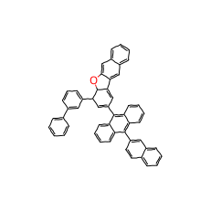 C1=C(c2c3ccccc3c(-c3ccc4ccccc4c3)c3ccccc23)C=C2c3cc4ccccc4cc3OC2C1c1cccc(-c2ccccc2)c1